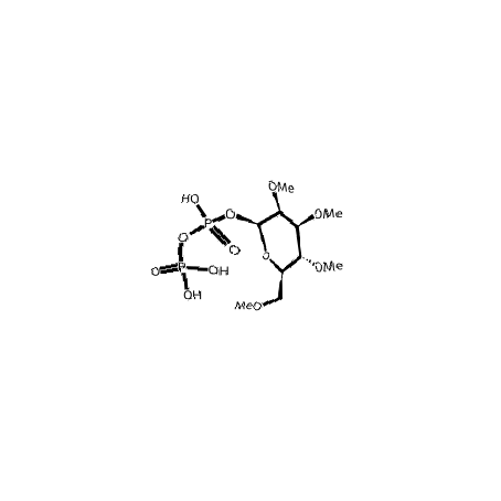 COC[C@H]1O[C@@H](OP(=O)(O)OP(=O)(O)O)[C@@H](OC)[C@@H](OC)[C@@H]1OC